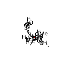 C=CC(=O)Nc1cc(Nc2nccc(-c3cn(C)c4ccccc34)n2)c(OC)cc1N(C)CCN(C)Cc1ccc(CSc2cccc3c2CN(C2CCC(=O)NC2=O)C3=O)cc1